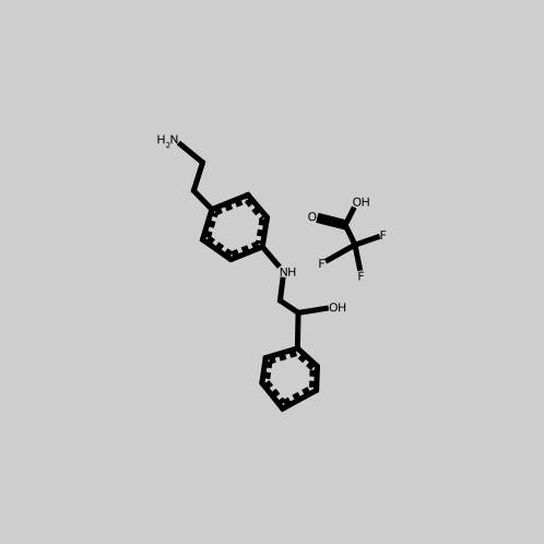 NCCc1ccc(NCC(O)c2ccccc2)cc1.O=C(O)C(F)(F)F